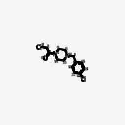 O=C(CCl)N1CCN(Cc2ccc(Cl)cc2)CC1